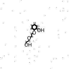 OCCOCCOc1ccccc1O